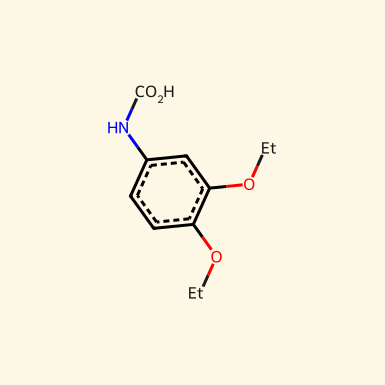 CCOc1ccc(NC(=O)O)cc1OCC